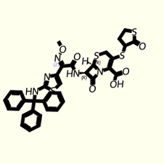 CO/N=C(\C(=O)N[C@@H]1C(=O)N2C(C(=O)O)=C(SC3CCSC3=O)CS[C@H]12)c1csc(NC(c2ccccc2)(c2ccccc2)c2ccccc2)n1